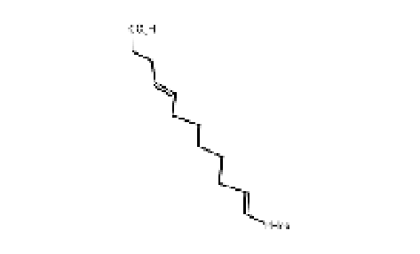 CCCCCC/C=C/CCCCC/C=C/CCC(=O)O